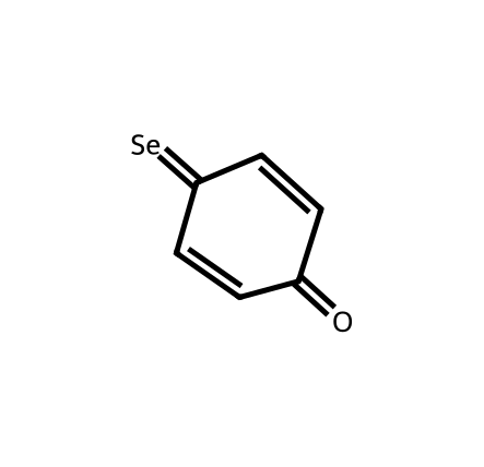 O=C1C=CC(=[Se])C=C1